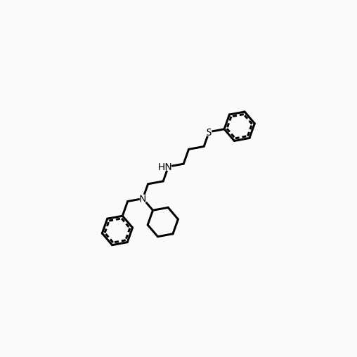 c1ccc(CN(CCNCCCSc2ccccc2)C2CCCCC2)cc1